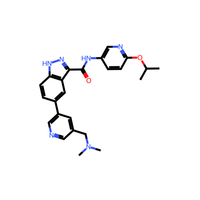 CC(C)Oc1ccc(NC(=O)c2n[nH]c3ccc(-c4cncc(CN(C)C)c4)cc23)cn1